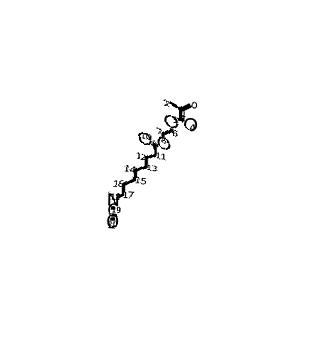 C=C(C)C(=O)OCCOC(=O)CCCCCCCN=C=O